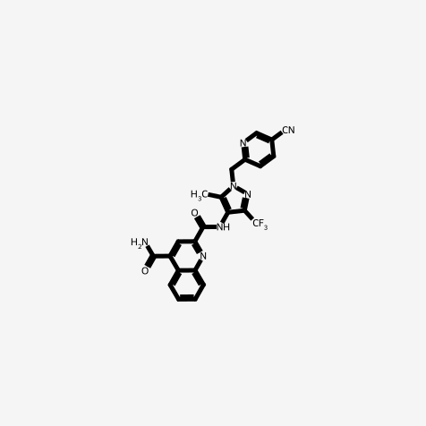 Cc1c(NC(=O)c2cc(C(N)=O)c3ccccc3n2)c(C(F)(F)F)nn1Cc1ccc(C#N)cn1